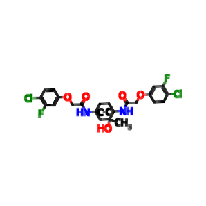 CC1(O)CC2(NC(=O)COc3ccc(Cl)c(F)c3)CCC1(NC(=O)COc1ccc(Cl)c(F)c1)CC2